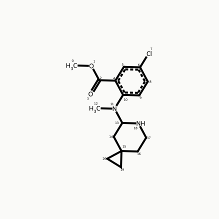 COC(=O)c1cc(Cl)ccc1N(C)C1CC2(CCN1)CC2